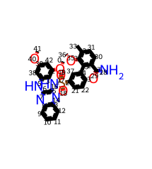 COc1cc(Nc2nc3ccccc3nc2NS(=O)(=O)c2cccc(-c3c(C(N)=O)ccc(C)c3OC)c2)cc(OC)c1